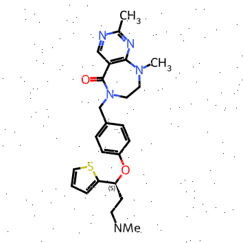 CNCC[C@H](Oc1ccc(CN2CCN(C)c3nc(C)ncc3C2=O)cc1)c1cccs1